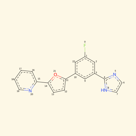 Fc1cc(-c2ncc[nH]2)cc(-c2ccc(-c3ccccn3)o2)c1